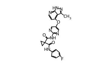 Cc1n[nH]c2nccc(Oc3cnc(NC(=O)C4(C(=O)Nc5ccc(F)cc5)CC4)nc3)c12